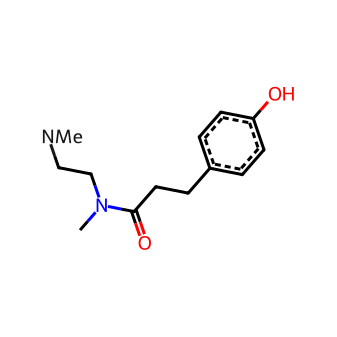 CNCCN(C)C(=O)CCc1ccc(O)cc1